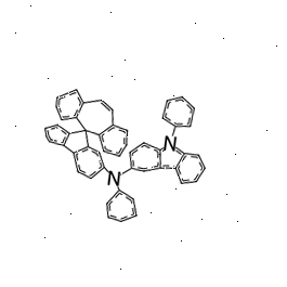 C1=Cc2ccccc2C2(c3ccccc31)c1ccccc1-c1ccc(N(c3ccccc3)c3ccc4c(c3)c3ccccc3n4-c3ccccc3)cc12